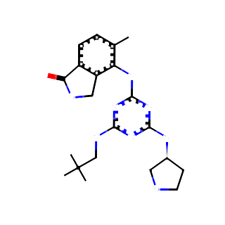 Cc1ccc2c(c1Nc1nc(NCC(C)(C)C)nc(N[C@H]3CCNC3)n1)CNC2=O